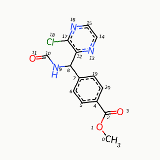 COC(=O)c1ccc(C(NC=O)c2nccnc2Cl)cc1